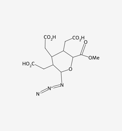 COC(=O)C1OC(N=[N+]=[N-])C(CC(=O)O)C(CC(=O)O)C1CC(=O)O